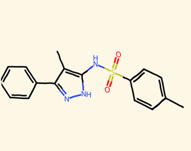 Cc1ccc(S(=O)(=O)Nc2[nH]nc(-c3ccccc3)c2C)cc1